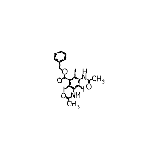 CC(=O)Nc1c(I)c(NC(C)=O)c(I)c(C(=O)OCc2ccccc2)c1I